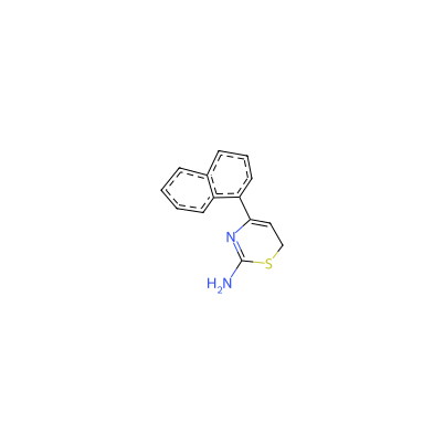 NC1=NC(c2cccc3ccccc23)=CCS1